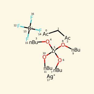 CC(=O)CC(C)=O.CCCC[O][Zr]([O]CCCC)([O]CCCC)[O]CCCC.F[B-](F)(F)F.[Ag+]